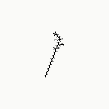 CCCCCCCCCCCCCCCCCC(=O)NCC(COP(=O)(O)OCC[N+](C)(C)C)OCC